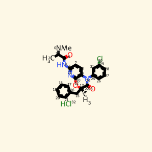 CNC(C)C(=O)Nc1ccc2c(n1)OC(C)(Cc1ccccc1)C(=O)N2c1cccc(Cl)c1.Cl